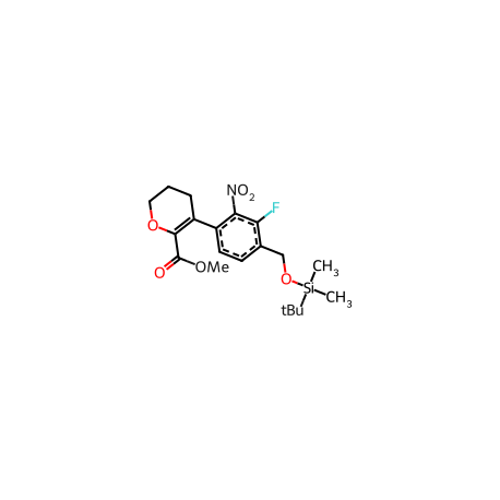 COC(=O)C1=C(c2ccc(CO[Si](C)(C)C(C)(C)C)c(F)c2[N+](=O)[O-])CCCO1